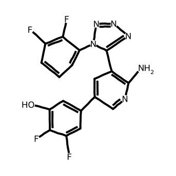 Nc1ncc(-c2cc(O)c(F)c(F)c2)cc1-c1nnnn1-c1cccc(F)c1F